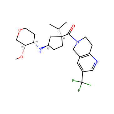 CO[C@@H]1COCC[C@@H]1N[C@@H]1CC[C@@](C(=O)N2CCc3ncc(C(F)(F)F)cc3C2)(C(C)C)C1